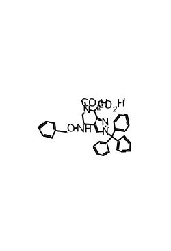 O=C(O)C1c2nn(C(c3ccccc3)(c3ccccc3)c3ccccc3)cc2C(NOCc2ccccc2)CN1C(=O)O